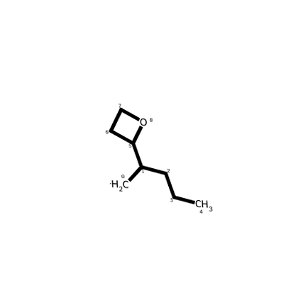 [CH2]C(CCC)C1CCO1